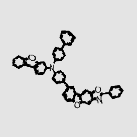 c1ccc(-c2ccc(N(c3ccc(-c4ccc5oc6cc7nc(-c8ccccc8)oc7cc6c5c4)cc3)c3ccc4c(c3)oc3ccccc34)cc2)cc1